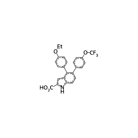 CCOc1ccc(-c2c(-c3ccc(OC(F)(F)F)cc3)ccc3[nH]c(C(=O)O)cc23)cc1